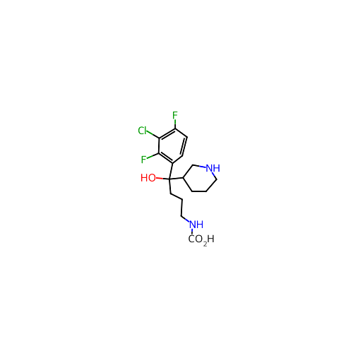 O=C(O)NCCCC(O)(c1ccc(F)c(Cl)c1F)C1CCCNC1